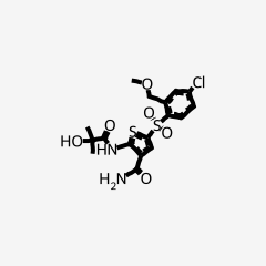 COCc1cc(Cl)ccc1S(=O)(=O)c1cc(C(N)=O)c(NC(=O)C(C)(C)O)s1